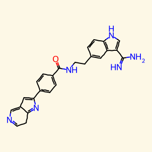 N=C(N)c1c[nH]c2ccc(CCNC(=O)c3ccc(C4=CC5=CN=CCC5=N4)cc3)cc12